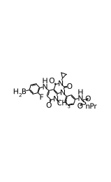 Bc1ccc(Nc2cc(=O)n(C)c3c2c(=O)n(C2CC2)c(=O)n3-c2cccc(NS(=O)(=O)CCC)c2)c(F)c1